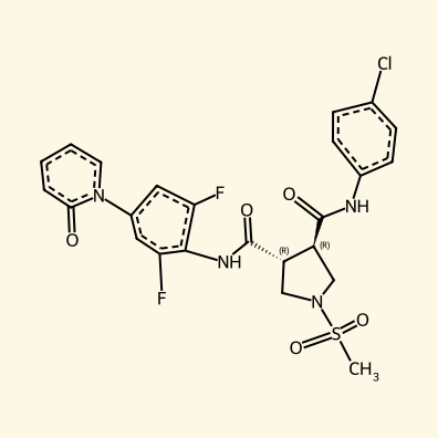 CS(=O)(=O)N1C[C@H](C(=O)Nc2ccc(Cl)cc2)[C@@H](C(=O)Nc2c(F)cc(-n3ccccc3=O)cc2F)C1